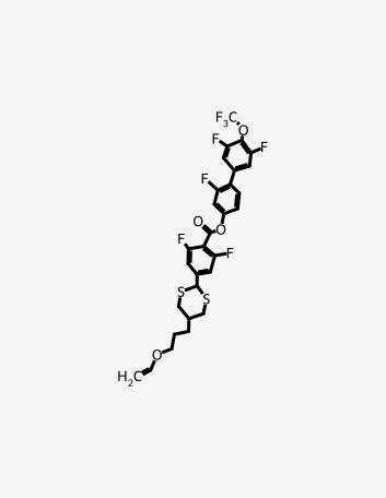 C=COCCCC1CSC(c2cc(F)c(C(=O)Oc3ccc(-c4cc(F)c(OC(F)(F)F)c(F)c4)c(F)c3)c(F)c2)SC1